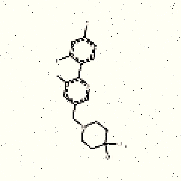 CC1(O)CCN(Cc2cnc(-c3cnc(Cl)cc3F)c(F)c2)CC1